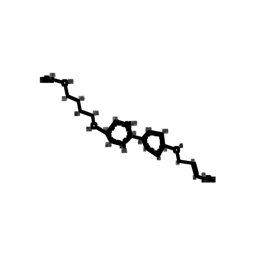 CCCCC=CCOc1ccc(-c2ncc(OCCCCOCCCC)cn2)cc1